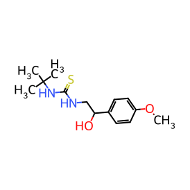 COc1ccc(C(O)CNC(=S)NC(C)(C)C)cc1